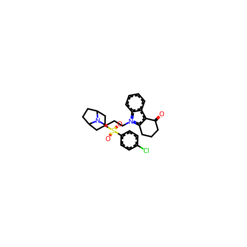 O=C1CCCc2c1c1ccccc1n2CCCN1C2CCC1CC(S(=O)(=O)c1ccc(Cl)cc1)C2